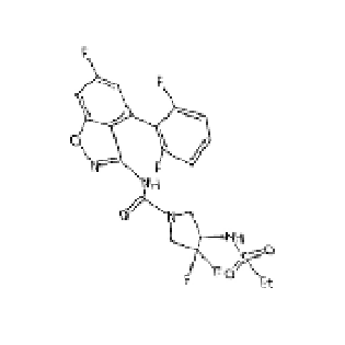 CCS(=O)(=O)N[C@@H]1CN(C(=O)Nc2noc3cc(F)cc(-c4c(F)cccc4F)c23)CC1(F)F